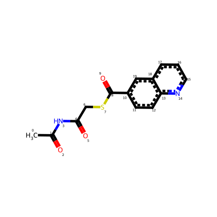 CC(=O)NC(=O)CSC(=O)c1ccc2ncccc2c1